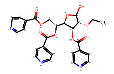 CCO[C@H]1C(O)O[C@H]([C@@H](COC(=O)c2ccncc2)OC(=O)c2ccncc2)[C@@H]1OC(=O)c1ccncc1